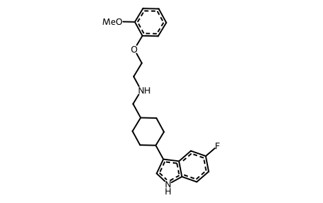 COc1ccccc1OCCNCC1CCC(c2c[nH]c3ccc(F)cc23)CC1